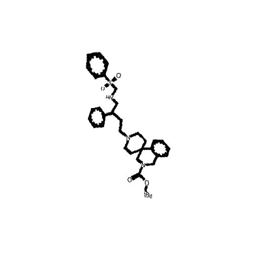 CC(C)(C)OC(=O)N1Cc2ccccc2C2(CCN(CCC(CNCS(=O)(=O)c3ccccc3)c3ccccc3)CC2)C1